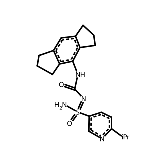 CC(C)c1ccc(S(N)(=O)=NC(=O)Nc2c3c(cc4c2CCC4)CCC3)cn1